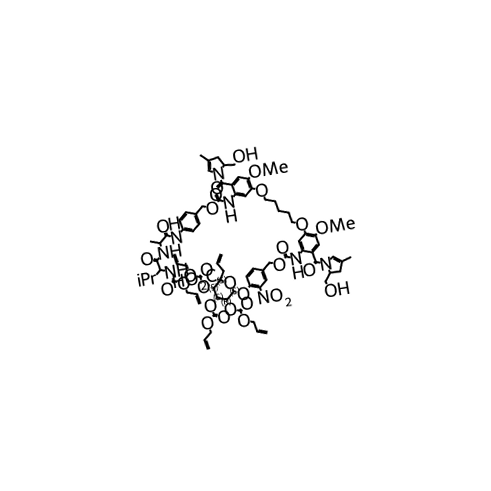 C=CCOC(=O)NC(C(=O)NC(C)C(=O)Nc1ccc(COC(=O)Nc2cc(OCCCCCOc3cc(NC(=O)OCc4ccc(O[C@H]5O[C@](CC=C)(C(=O)O)[C@@H](OC(=O)OCC=C)[C@H](OC(=O)OCC=C)[C@H]5OC(=O)OCC=C)c([N+](=O)[O-])c4)c(C(=O)N4C=C(C)CC4CO)cc3OC)c(OC)cc2C(=O)N2C=C(C)CC2CO)cc1)C(C)C